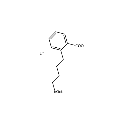 CCCCCCCCCCCCc1ccccc1C(=O)[O-].[Li+]